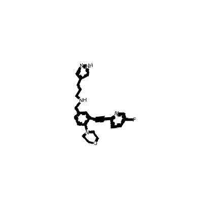 Fc1ccc(C#Cc2cc(CNCCCc3cn[nH]c3)ccc2N2CCOCC2)nc1